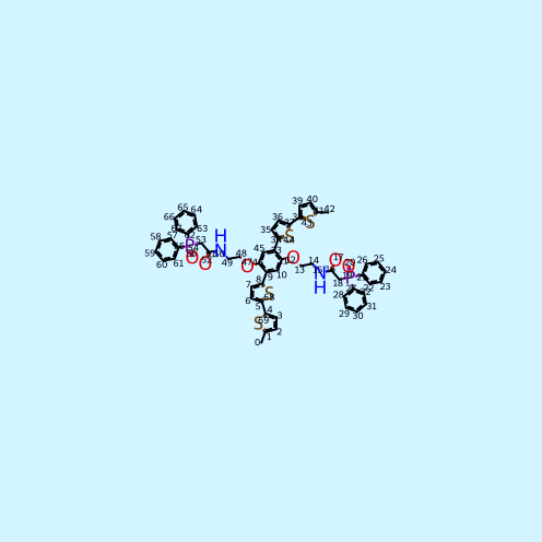 Cc1ccc(-c2ccc(-c3cc(OCCNC(=O)CP(=O)(c4ccccc4)c4ccccc4)c(-c4ccc(-c5ccc(C)s5)s4)cc3OCCNC(=O)CP(=O)(c3ccccc3)c3ccccc3)s2)s1